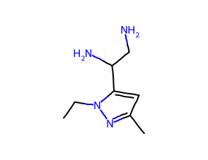 CCn1nc(C)cc1C(N)CN